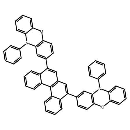 c1ccc(N2c3ccccc3Oc3ccc(-c4cc5cc(-c6ccc7c(c6)N(c6ccccc6)c6ccccc6O7)c6ccccc6c5c5ccccc45)cc32)cc1